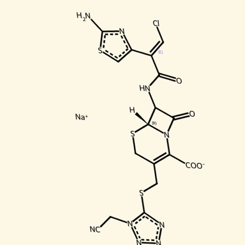 N#CCn1nnnc1SCC1=C(C(=O)[O-])N2C(=O)C(NC(=O)/C(=C/Cl)c3csc(N)n3)[C@H]2SC1.[Na+]